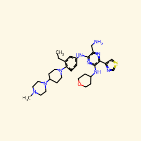 CCc1cc(Nc2nc(NC3CCOCC3)c(-c3cscn3)nc2CN)ccc1N1CCC(N2CCN(C)CC2)CC1